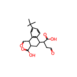 CC(C)(C)c1ccc2c(c1)C(C=O)C(C(=O)O)CC2C(CC=O)C(=O)O